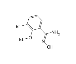 CCOc1c(Br)cccc1C(N)=NO